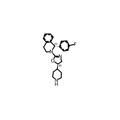 Fc1ccc([C@H]2c3ccccc3CCN2C2=NC[C@@H](C3CCNCC3)O2)cc1